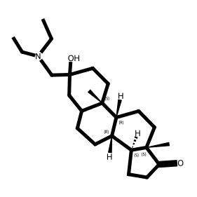 CCN(CC)CC1(O)CC[C@@]2(C)C(CC[C@@H]3[C@H]2CC[C@]2(C)C(=O)CC[C@@H]32)C1